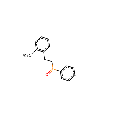 COc1ccccc1CC[P](=O)c1ccccc1